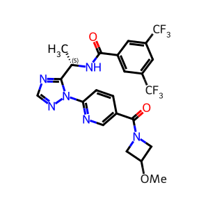 COC1CN(C(=O)c2ccc(-n3ncnc3[C@H](C)NC(=O)c3cc(C(F)(F)F)cc(C(F)(F)F)c3)nc2)C1